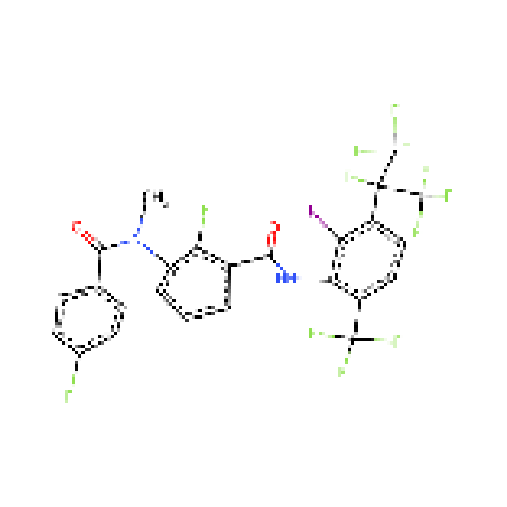 CN(C(=O)c1ccc(F)cc1)c1cccc(C(=O)Nc2c(C(F)(F)F)ccc(C(F)(C(F)(F)F)C(F)(F)F)c2I)c1F